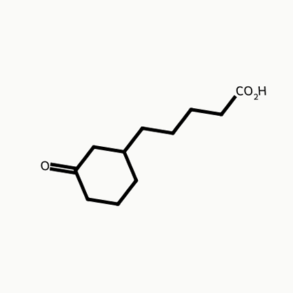 O=C(O)CCCCC1CCCC(=O)C1